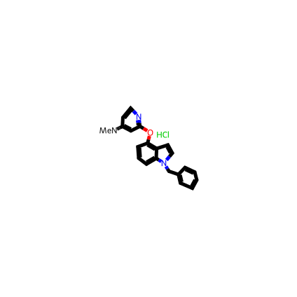 CNc1ccnc(Oc2cccc3c2ccn3Cc2ccccc2)c1.Cl